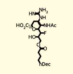 CCCCCCCCCCCCCC(=O)OCC(O)C(F)C1O[C@H](C(=O)O)CC(NC(=N)N)=C1NC(C)=O